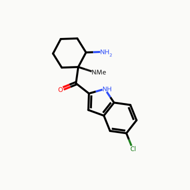 CNC1(C(=O)c2cc3cc(Cl)ccc3[nH]2)CCCCC1N